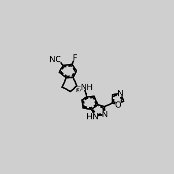 N#Cc1cc2c(cc1F)[C@H](Nc1ccc3[nH]nc(-c4cnco4)c3c1)CC2